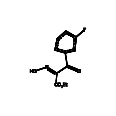 CCOC(=O)C(=NO)C(=O)c1cccc(F)c1